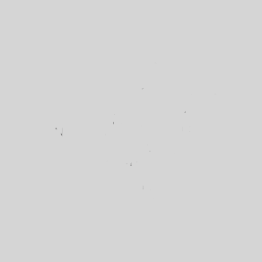 CCC1Oc2c(C)cccc2-c2oc(C#N)c(C)c(=O)c21